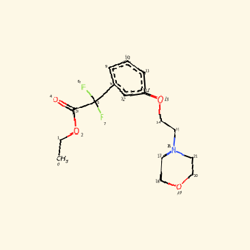 CCOC(=O)C(F)(F)c1cccc(OCCN2CCOCC2)c1